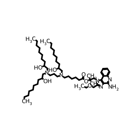 CCCCCCCCC(O)CN(CCCCCC(=O)OC(C)(C)Cn1c(COCC)nc2c(N)nc3ccccc3c21)CCCN(CC(O)CCCCCCCC)CC(O)CCCCCCCC